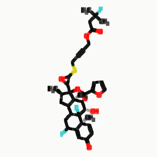 C[C@@H]1CC2C3C[C@H](F)C4=CC(=O)C=C[C@]4(C)[C@@]3(F)[C@@H](O)C[C@]2(C)[C@@]1(OC(=O)c1ccco1)C1OC1SCC#CCOC(=O)CC(C)(C)F